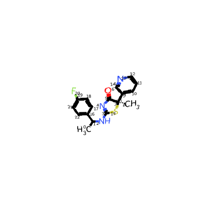 CC(NC1=NC(=O)[C@@](C)(c2cccnc2)S1)c1ccc(F)cc1